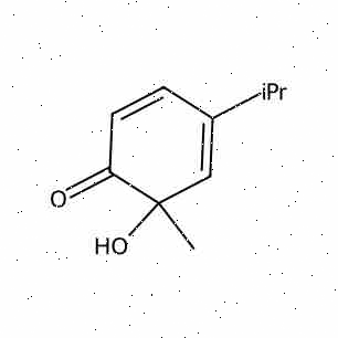 CC(C)C1=CC(C)(O)C(=O)C=C1